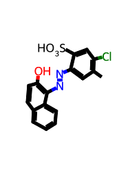 Cc1cc(N=Nc2c(O)ccc3ccccc23)c(S(=O)(=O)O)cc1Cl